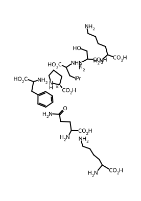 CC(C)CC(N)C(=O)O.NC(=O)CCC(N)C(=O)O.NC(CO)C(=O)O.NC(Cc1ccccc1)C(=O)O.NCCCCC(N)C(=O)O.NCCCCC(N)C(=O)O.O=C(O)[C@@H]1CCCN1